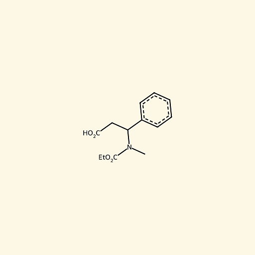 CCOC(=O)N(C)C(CC(=O)O)c1ccccc1